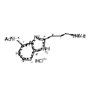 CNCCCc1nc2c(NC(C)=O)cccc2[nH]1.Cl